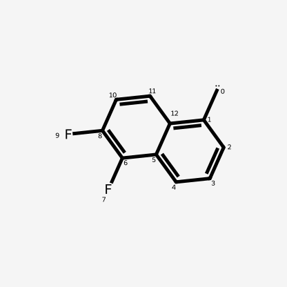 [CH]c1cccc2c(F)c(F)ccc12